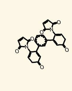 O=C1C=C(c2cccc(C3=CC(=O)CC=C3N3C(=O)C=CC3=O)c2)C(N2C(=O)C=CC2=O)=CC1